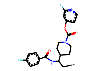 CC(C)CC(NC(=O)c1ccc(F)cc1)C1CCN(C(=O)Oc2ccnc(F)c2)CC1